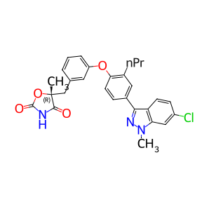 CCCc1cc(-c2nn(C)c3cc(Cl)ccc23)ccc1Oc1cccc(C[C@@]2(C)OC(=O)NC2=O)c1